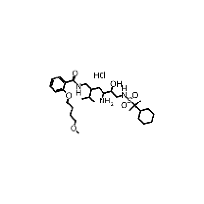 COCCCCOc1ccccc1C(=O)NCC(CC(N)C(O)CNS(=O)(=O)C(C)(C)C1CCCCC1)C(C)C.Cl